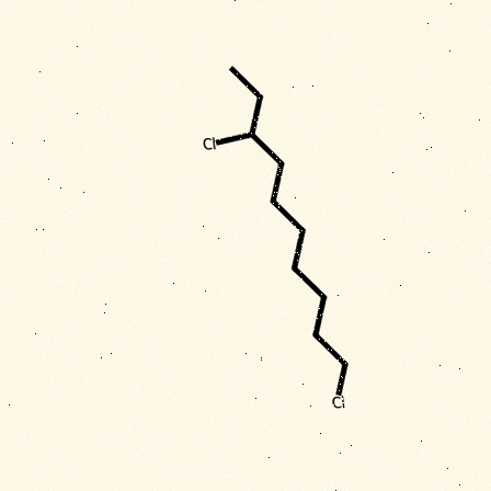 CCC(Cl)CCCCCCCCl